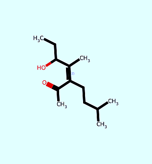 CCC(O)/C(C)=C(/CCC(C)C)C(C)=O